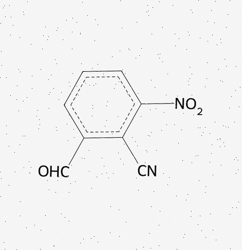 N#Cc1c(C=O)cccc1[N+](=O)[O-]